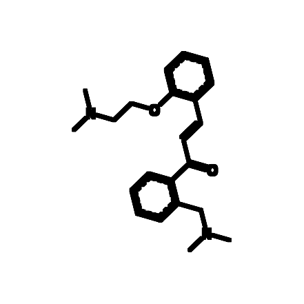 CN(C)CCOc1ccccc1/C=C/C(=O)c1ccccc1CN(C)C